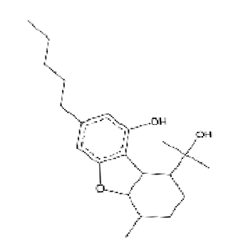 CCCCCc1cc(O)c2c(c1)OC1C(C)CCC(C(C)(C)O)C21